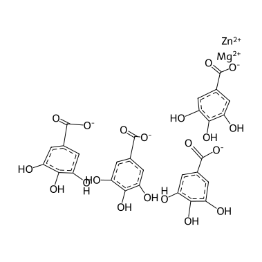 O=C([O-])c1cc(O)c(O)c(O)c1.O=C([O-])c1cc(O)c(O)c(O)c1.O=C([O-])c1cc(O)c(O)c(O)c1.O=C([O-])c1cc(O)c(O)c(O)c1.[Mg+2].[Zn+2]